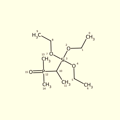 CCO[Si](OCC)(OCC)C(C)P(C)(C)=O